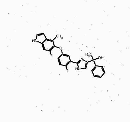 Cc1c(Oc2ccc(F)c(-c3nc(C(C)(O)c4ccccc4)c[nH]3)c2)c(F)cc2[nH]ccc12